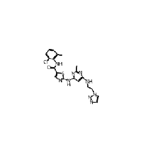 Cc1nc(NCCn2ccnn2)cc(Nc2ncc(C(=O)Nc3c(C)cccc3Cl)s2)n1